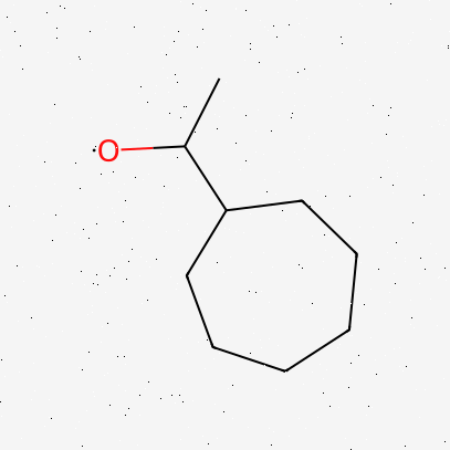 CC([O])C1CCCCCC1